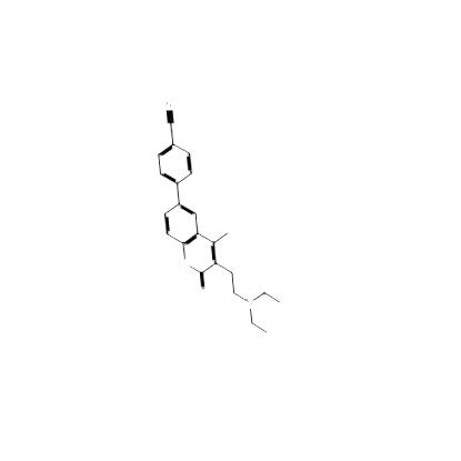 CCN(CC)CCc1c(C)c2cc(-c3ccc(C#N)cc3)ccc2oc1=O